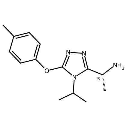 Cc1ccc(Oc2nnc([C@@H](C)N)n2C(C)C)cc1